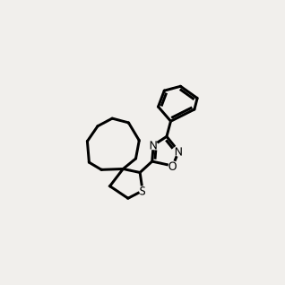 c1ccc(-c2noc(C3SCCC34CCCCCCCC4)n2)cc1